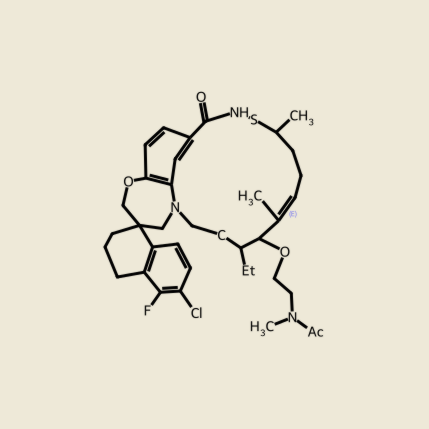 CCC1CCN2CC3(CCCc4c3ccc(Cl)c4F)COc3ccc(cc32)C(=O)NSC(C)CC/C=C(\C)C1OCCN(C)C(C)=O